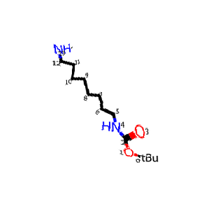 CC(C)(C)OC(=O)NCCCCCCCC[NH]